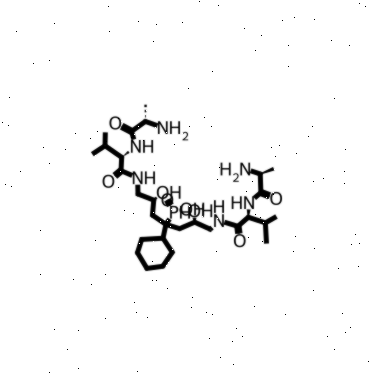 CC(C)[C@H](NC(=O)[C@H](C)N)C(=O)NC[C@H](O)CC(C[C@@H](O)CNC(=O)[C@@H](NC(=O)[C@H](C)N)C(C)C)(C1CCCCC1)[PH](=O)O